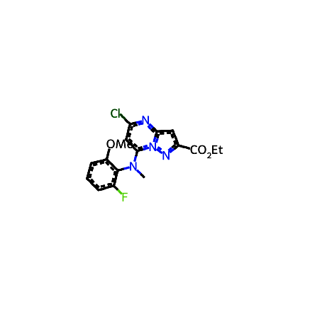 CCOC(=O)c1cc2nc(Cl)cc(N(C)c3c(F)cccc3OC)n2n1